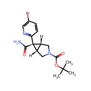 CC(C)(C)OC(=O)N1C[C@@H]2[C@H](C1)[C@]2(C(N)=O)c1ccc(Br)cn1